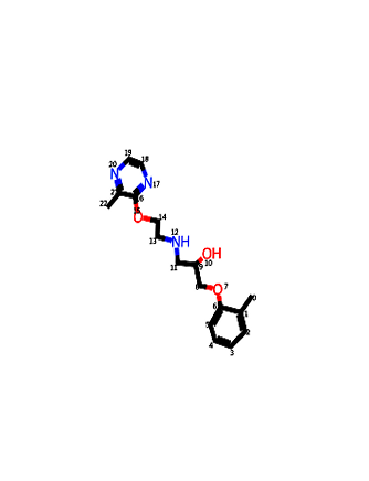 Cc1ccccc1OCC(O)CNCCOc1nccnc1C